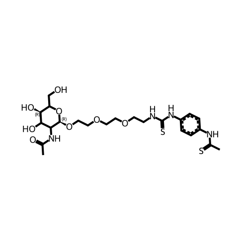 CC(=O)NC1C(O)[C@@H](O)C(CO)O[C@H]1OCCOCCOCCNC(=S)Nc1ccc(NC(C)=S)cc1